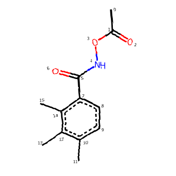 CC(=O)ONC(=O)c1ccc(C)c(C)c1C